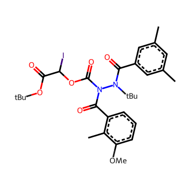 COc1cccc(C(=O)N(C(=O)OC(I)C(=O)OC(C)(C)C)N(C(=O)c2cc(C)cc(C)c2)C(C)(C)C)c1C